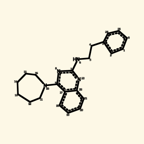 c1ccc(CCNc2nc(N3CCCCCC3)c3ccccc3n2)cc1